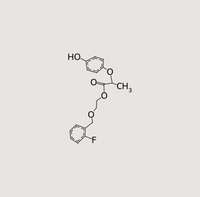 CC(Oc1ccc(O)cc1)C(=O)OCCOCc1ccccc1F